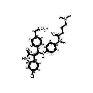 CN(C)CCCC(=O)N(C)c1ccc(NC(=C2C(=O)Nc3cc(Cl)ccc32)c2ccc(CC(=O)O)cc2)cc1